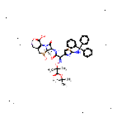 CC(C)(C)OC(=O)C(C)(C)O/N=C(\C(=O)NC1C(=O)N2C(C(=O)O)=C(CI)C[S+]([O-])[C@@H]12)c1csc(NC(c2ccccc2)(c2ccccc2)c2ccccc2)n1